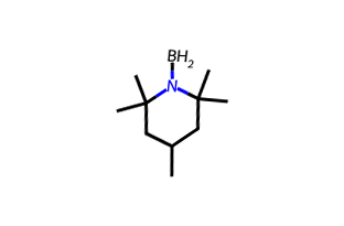 BN1C(C)(C)CC(C)CC1(C)C